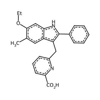 CCOc1cc2[nH]c(-c3ccccc3)c(Cc3cccc(C(=O)O)n3)c2cc1C